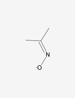 CC(C)=N[O]